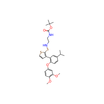 COc1ccc(Oc2ccc(C(C)C)cc2-c2ccsc2SNCCNC(=O)OC(C)(C)C)cc1OC